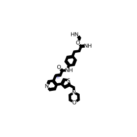 N=COC(=N)CCc1ccc(NC(=O)/C=C/c2cnccc2-c2csc(CN3CCOCC3)c2)cc1